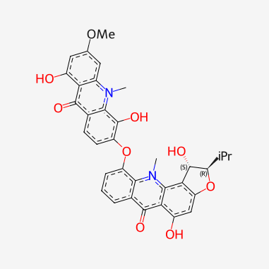 COc1cc(O)c2c(=O)c3ccc(Oc4cccc5c(=O)c6c(O)cc7c(c6n(C)c45)[C@H](O)[C@@H](C(C)C)O7)c(O)c3n(C)c2c1